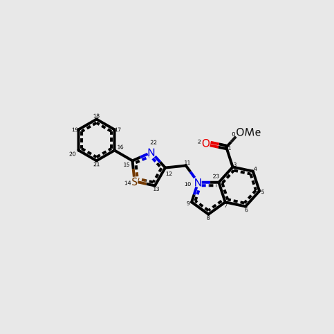 COC(=O)c1cccc2ccn(Cc3csc(-c4ccccc4)n3)c12